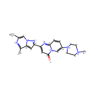 CCc1nc(C)cn2nc(-c3cc(=O)n4cc(N5CCN(C(C)C)CC5)ccc4n3)cc12